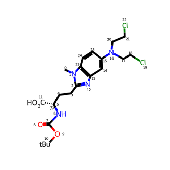 Cn1c(CC[C@H](NC(=O)OC(C)(C)C)C(=O)O)nc2cc(N(CCCl)CCCl)ccc21